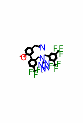 COc1ccc(CC#N)cc1-c1ccc(C(F)(F)F)cc1CN(Cc1cc(C(F)(F)F)cc(C(F)(F)F)c1)c1nnn(C)n1